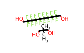 CC(C)(CO)CO.OCC(F)(F)C(F)(F)C(F)(F)C(F)(F)C(F)(F)C(F)(F)C(F)(F)C(F)(F)CO